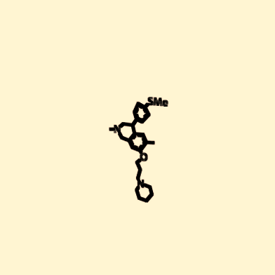 CSc1ccc(C2CN(C)Cc3cc(OCCCN4CCCCC4)c(C)cc32)cc1